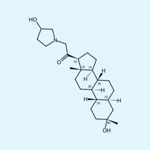 C[C@@]1(O)CC[C@H]2[C@@H](CC[C@@H]3[C@@H]2CC[C@]2(C)[C@@H](C(=O)CN4CCC(O)C4)CC[C@@H]32)C1